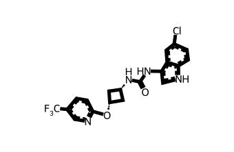 O=C(Nc1c[nH]c2ccc(Cl)cc12)N[C@H]1C[C@@H](Oc2ccc(C(F)(F)F)cn2)C1